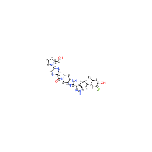 CCc1cc(O)c(F)cc1-c1ccc2c(-c3nc4c([nH]3)CCN(C(=O)c3cnc(N5CCC[C@H]5CO)cn3)C4)n[nH]c2c1